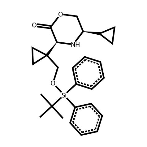 CC(C)(C)[Si](OCC1([C@@H]2N[C@H](C3CC3)COC2=O)CC1)(c1ccccc1)c1ccccc1